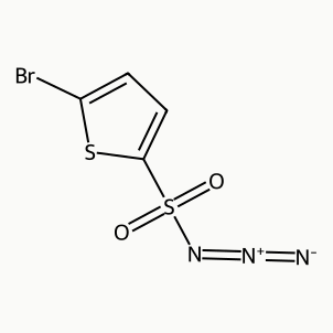 [N-]=[N+]=NS(=O)(=O)c1ccc(Br)s1